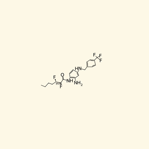 CCCC[C@@H](F)[C@H](F)C(=O)Nc1ccc(NCc2ccc(C(F)(F)F)cc2)cc1N